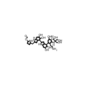 NCCc1c(-c2c(O)c(O)cc3[nH]c(-c4c(O)c(O)cc5[nH]c(Cc6ccc(OC=O)[nH]6)cc45)cc23)cc(O)c(O)c1NC(CO)(CO)CO